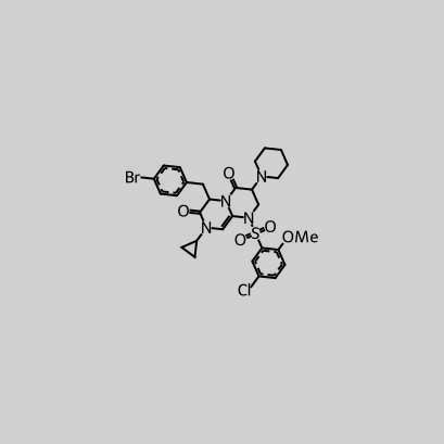 COc1ccc(Cl)cc1S(=O)(=O)N1CC(N2CCCCC2)C(=O)N2C1=CN(C1CC1)C(=O)C2Cc1ccc(Br)cc1